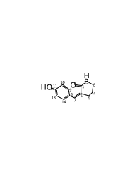 O=C1BCCCC1=Cc1ccc(O)cc1